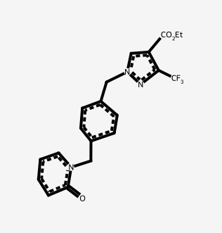 CCOC(=O)c1cn(Cc2ccc(Cn3ccccc3=O)cc2)nc1C(F)(F)F